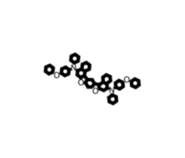 c1ccc(Oc2ccc(N(c3ccccc3)c3cc4oc5cc6oc7cc(N(c8ccccc8)c8ccc(Oc9ccccc9)cc8)c8ccccc8c7c6cc5c4c4ccccc34)cc2)cc1